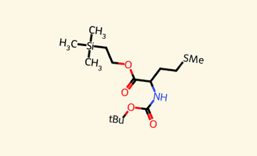 CSCCC(NC(=O)OC(C)(C)C)C(=O)OCC[Si](C)(C)C